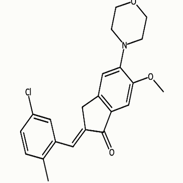 COc1cc2c(cc1N1CCOCC1)C/C(=C\c1cc(Cl)ccc1C)C2=O